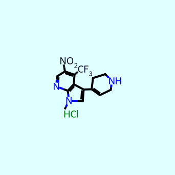 Cl.Cn1cc(C2=CCNCC2)c2c(C(F)(F)F)c([N+](=O)[O-])cnc21